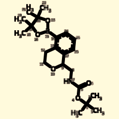 CC(C)(C)OC(=O)NCC1OCCc2c(B3OC(C)(C)C(C)(C)O3)cccc21